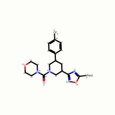 CCCC(C)c1nc(C2CC(c3ccc(C(F)(F)F)cc3)CN(C(=O)N3CCOCC3)C2)no1